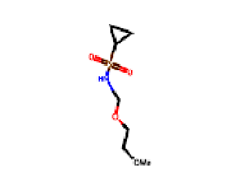 COCCOCNS(=O)(=O)C1CC1